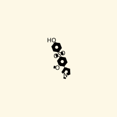 COc1cc(S(=O)(=O)c2ccc(O)cc2)ccc1[C@@H]1CCN(C)C1